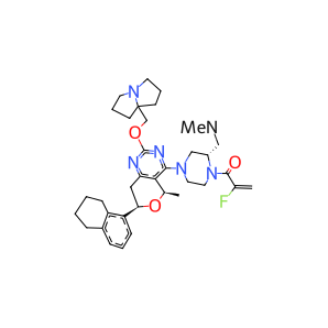 C=C(F)C(=O)N1CCN(c2nc(OCC34CCCN3CCC4)nc3c2[C@@H](C)O[C@@H](c2cccc4c2CCCC4)C3)C[C@@H]1CNC